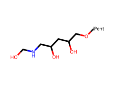 CCCC(C)OCC(O)CC(O)CNCO